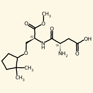 COC(=O)[C@H](COC1CCCC1(C)C)NC(=O)[C@@H](N)CC(=O)O